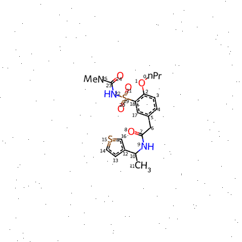 CCCOc1ccc(CC(=O)NC(C)c2ccsc2)cc1S(=O)(=O)NC(=O)NC